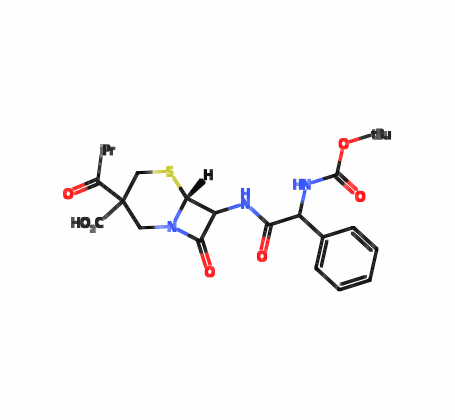 CC(C)C(=O)C1(C(=O)O)CS[C@@H]2C(NC(=O)C(NC(=O)OC(C)(C)C)c3ccccc3)C(=O)N2C1